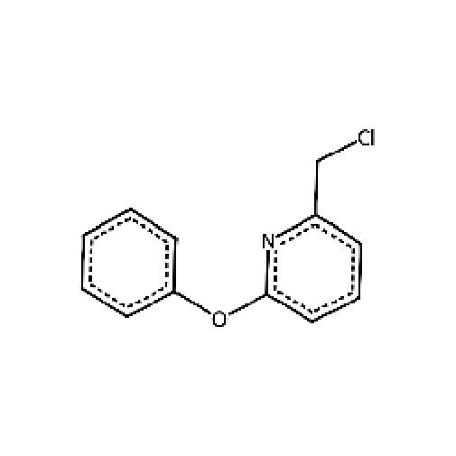 ClCc1cccc(Oc2ccccc2)n1